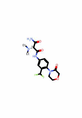 CCN(CC)[C@H](C(N)=O)C(=O)Nc1ccc(N2CCOCC2=O)c(C(F)F)c1